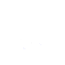 Cc1cccc(C)c1NC(=O)C[N+]1(CC(=O)OCc2ccccc2)CCCC1